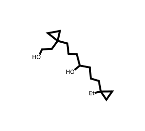 CCC1(CCCC(O)CCCC2(CCO)CC2)CC1